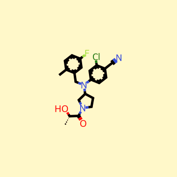 Cc1ccc(F)cc1CN(c1ccc(C#N)c(Cl)c1)C1CCN(C(=O)[C@H](C)O)C1